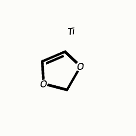 C1=COCO1.[Ti]